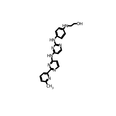 Cc1cccc(-c2nccc(Nc3ccnc(Nc4ccc(NCCO)cc4)n3)n2)n1